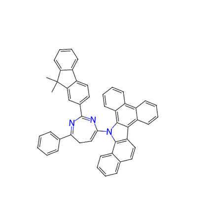 CC1(C)c2ccccc2-c2ccc(C3=NC(n4c5c6ccccc6ccc5c5c6ccccc6c6ccccc6c54)=CCC(c4ccccc4)=N3)cc21